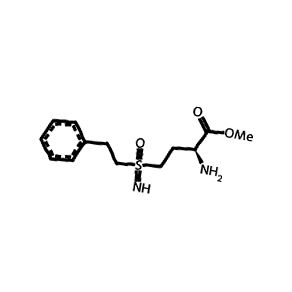 COC(=O)[C@@H](N)CCS(=N)(=O)CCc1ccccc1